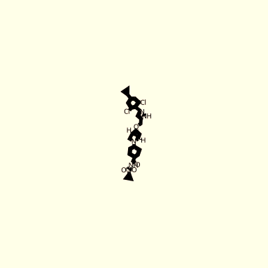 O=C(NS(=O)(=O)C1CC1)c1ccc(N2C[C@@H]3C[C@H]2C[C@H]3OCc2cc(-c3c(Cl)cc(C4CC4)cc3Cl)n[nH]2)cc1